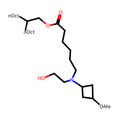 CCCCCCCCC(CCCCCCCC)COC(=O)CCCCCN(CCO)C1CC(OC)C1